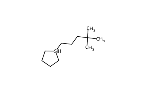 CC(C)(C)CCC[SiH]1CCCC1